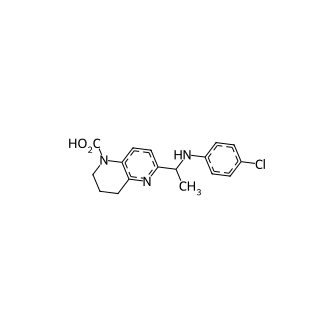 CC(Nc1ccc(Cl)cc1)c1ccc2c(n1)CCCN2C(=O)O